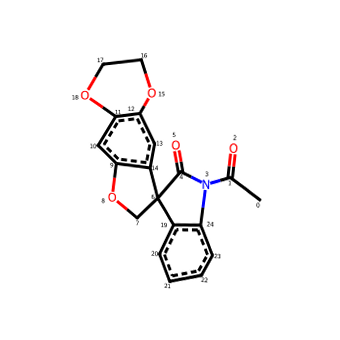 CC(=O)N1C(=O)C2(COc3cc4c(cc32)OCCO4)c2ccccc21